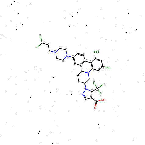 Cl.O=C(O)c1cnn(C2CCCN(c3cc(Cl)ccc3-c3ccc(N4CCN(CCC(F)F)CC4)cc3)C2)c1C(F)(F)F